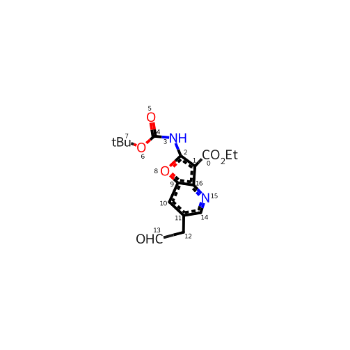 CCOC(=O)c1c(NC(=O)OC(C)(C)C)oc2cc(CC=O)cnc12